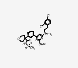 COc1nc(-c2cccc(C3(C(=O)NS(C)(=O)=O)CCOCC3)c2)cc(N(C)CCc2ccc(Cl)cc2Cl)n1